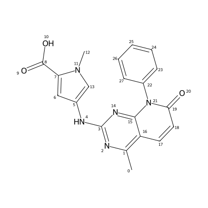 Cc1nc(Nc2cc(C(=O)O)n(C)c2)nc2c1ccc(=O)n2-c1ccccc1